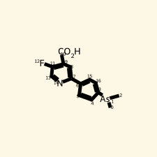 C[As](C)c1ccc(-c2cc(C(=O)O)c(F)cn2)cc1